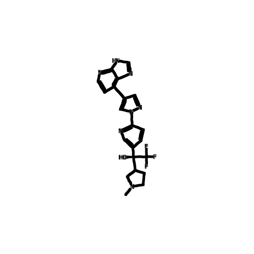 CN1CCC([C@](O)(c2ccc(-n3cc(-c4ccnc5[nH]cnc45)cn3)nc2)C(F)(F)F)C1